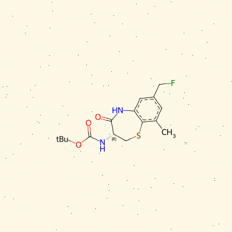 Cc1cc(CF)cc2c1SC[C@H](NC(=O)OC(C)(C)C)C(=O)N2